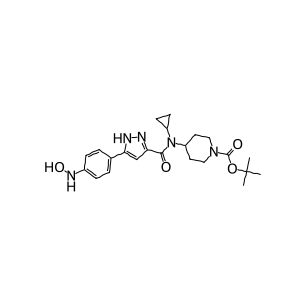 CC(C)(C)OC(=O)N1CCC(N(C(=O)c2cc(-c3ccc(NO)cc3)[nH]n2)C2CC2)CC1